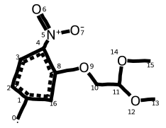 [CH2]c1ccc([N+](=O)[O-])c(OCC(OC)OC)c1